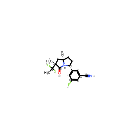 CC(F)(F)[C@@]1(C)C[C@H]2CC[C@H](c3cc(F)cc(C#N)c3)N2C1=O